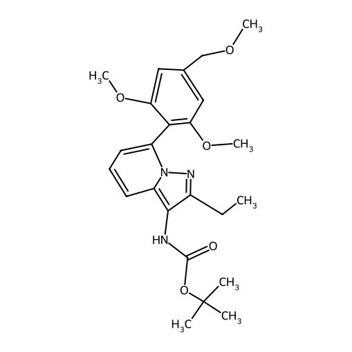 CCc1nn2c(-c3c(OC)cc(COC)cc3OC)cccc2c1NC(=O)OC(C)(C)C